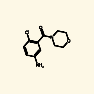 Nc1ccc(Cl)c(C(=O)N2CCOCC2)c1